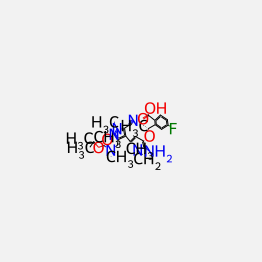 C=N/C(N)=C(\C=C(/C)c1c(CN(C)C(=O)OC(C)(C)C)nn(C)c1C#N)O[C@H](C)c1cc(F)ccc1C(=O)O